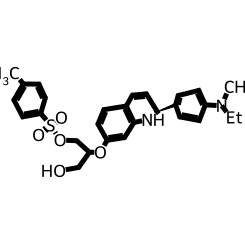 CCN(C)c1ccc([C@@H]2C=Cc3ccc(OC(CO)COS(=O)(=O)c4ccc(C)cc4)cc3N2)cc1